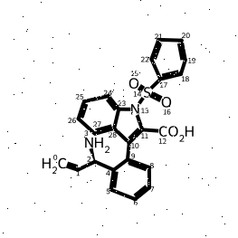 C=C[C@@H](N)c1ccccc1-c1c(C(=O)O)n(S(=O)(=O)c2ccccc2)c2ccccc12